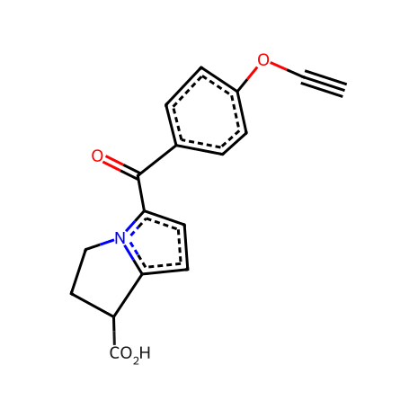 C#COc1ccc(C(=O)c2ccc3n2CCC3C(=O)O)cc1